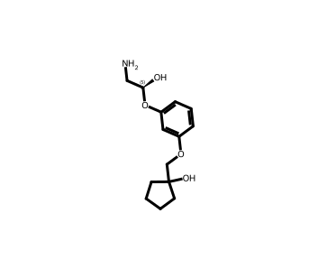 NC[C@@H](O)Oc1cccc(OCC2(O)CCCC2)c1